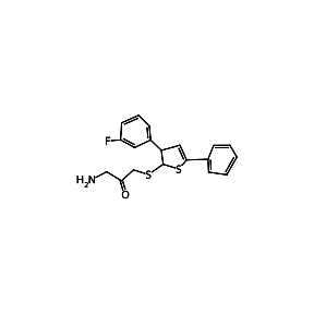 NCC(=O)CSC1SC(c2ccccc2)=CC1c1cccc(F)c1